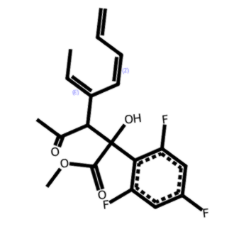 C=C/C=C\C(=C/C)C(C(C)=O)C(O)(C(=O)OC)c1c(F)cc(F)cc1F